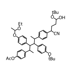 CCOC(C)Oc1ccc(C(C(C)c2ccc(OC(C)=O)cc2)C(c2ccc(OC(C)(C)C)cc2)C(C)c2ccc(C(C#N)CCC(O)OC(C)(C)C)cc2)cc1